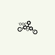 O=C([O-])c1ccccc1-c1c2ccc(N3CCCCCC3)cc2[o+]c2cc(N3CCCCCC3)ccc12